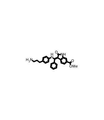 COC(=O)c1ccc2c(c1)NC(=O)/C2=C(\Nc1ccc(CCCN)cc1)c1ccccc1